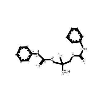 CCC(COC(=O)Nc1ccccc1)(COC(=O)Nc1ccccc1)C(=O)O